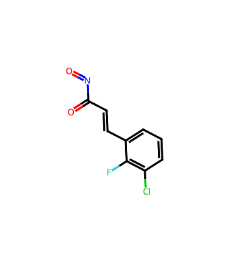 O=NC(=O)C=Cc1cccc(Cl)c1F